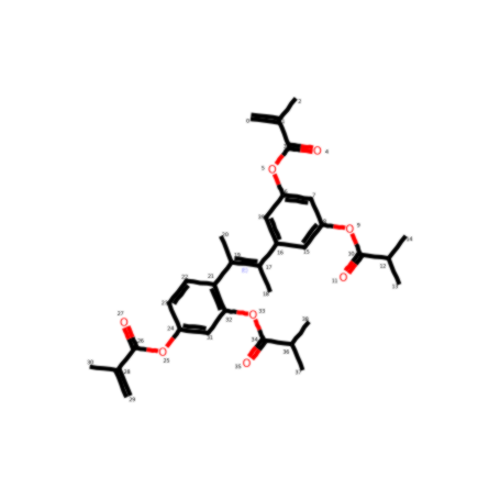 C=C(C)C(=O)Oc1cc(OC(=O)C(C)C)cc(/C(C)=C(\C)c2ccc(OC(=O)C(=C)C)cc2OC(=O)C(C)C)c1